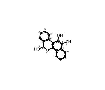 N#Cc1c(O)c2c(c3ccccc13)OC(O)c1ccccc1-2